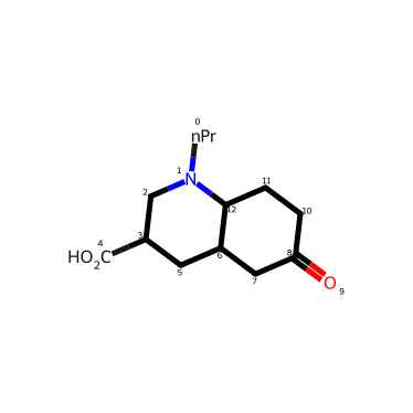 CCCN1CC(C(=O)O)CC2CC(=O)CCC21